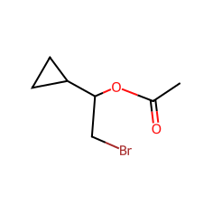 CC(=O)OC(CBr)C1CC1